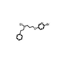 CCN(CCCOc1ccc(Br)nc1)CCc1ccccc1